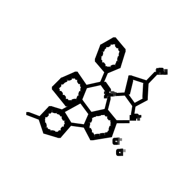 CCCC1C=C(C(C)(C)C)C=[C]1[Zr+2](=[C](c1ccccc1)c1ccccc1)[c]1c(C)ccc2c1Cc1cc(C)ccc1-2.[Cl-].[Cl-]